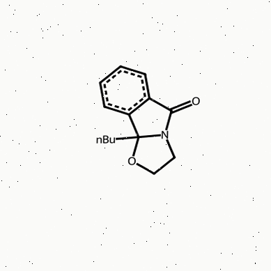 CCCCC12OCCN1C(=O)c1ccccc12